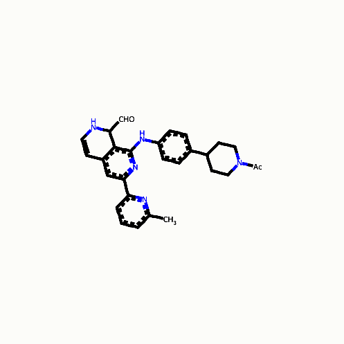 CC(=O)N1CCC(c2ccc(Nc3nc(-c4cccc(C)n4)cc4c3C(C=O)NC=C4)cc2)CC1